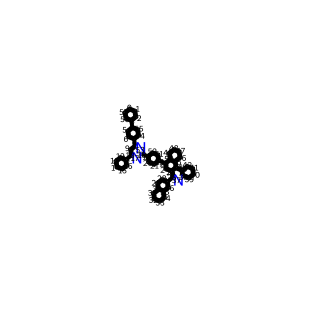 c1ccc(-c2ccc(-c3cc(-c4ccccc4)nc(-c4ccc(-c5cc6c(-c7ccc8ccccc8c7)nc7ccccc7c6c6ccccc56)cc4)n3)cc2)cc1